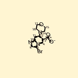 O=[N+]([O-])c1cn2c(Br)cnc2cc1N1CCOCC1